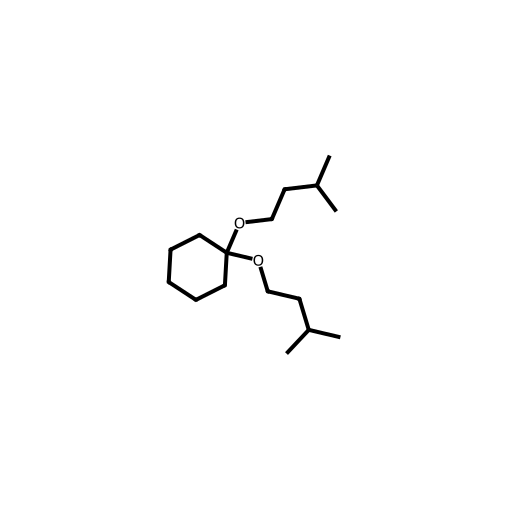 CC(C)CCOC1(OCCC(C)C)CCCCC1